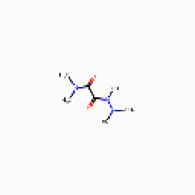 CC(=O)N(C)N(C)C(=O)C(=O)N(C)C